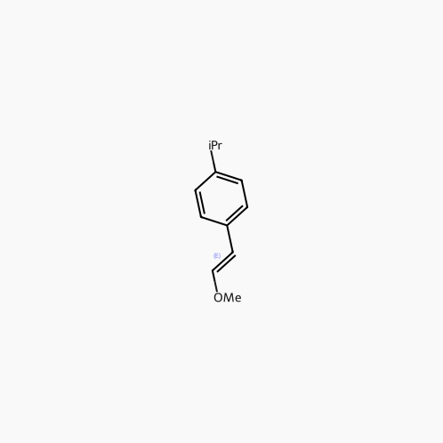 CO/C=C/c1ccc(C(C)C)cc1